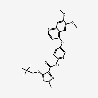 COc1cc2nccc(Oc3ccc(NC(=O)c4nn(C)cc4OCC(F)(F)F)nc3)c2cc1OC